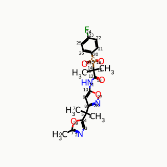 Cc1ncc(C(C)(C)c2cc(NC(=O)C(C)(C)S(=O)(=O)c3ccc(F)cc3)on2)o1